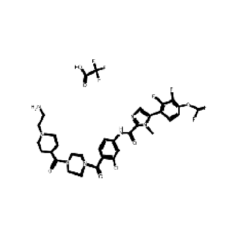 Cn1c(-c2ccc(OC(F)F)c(F)c2F)cnc1C(=O)Nc1ccc(C(=O)N2CCN(C(=O)C3CCN(CCN)CC3)CC2)c(Cl)c1.O=C(O)C(F)(F)F